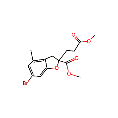 COC(=O)CCC1(C(=O)OC)Cc2c(C)cc(Br)cc2O1